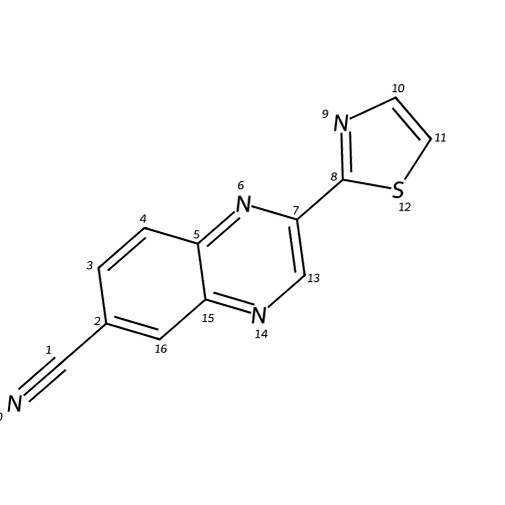 N#Cc1ccc2nc(-c3nccs3)cnc2c1